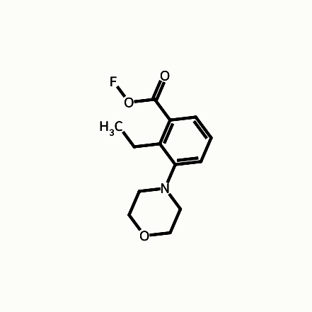 CCc1c(C(=O)OF)cccc1N1CCOCC1